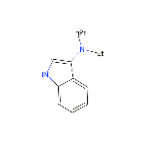 CCCN(CC)c1[c][nH]c2ccccc12